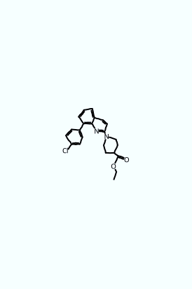 CCOC(=O)C1CCN(c2ccc3cccc(-c4ccc(Cl)cc4)c3n2)CC1